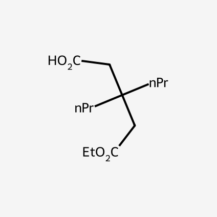 CCCC(CCC)(CC(=O)O)CC(=O)OCC